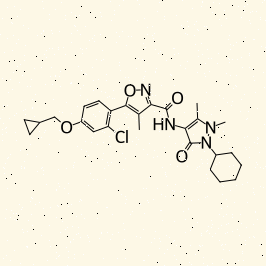 Cc1c(C(=O)Nc2c(C)n(C)n(C3CCCCC3)c2=O)noc1-c1ccc(OCC2CC2)cc1Cl